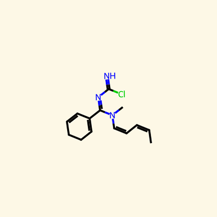 C/C=C\C=C/N(C)/C(=N\C(=N)Cl)C1=CCCC=C1